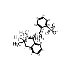 CC1=[N+](C)C(C)(C)Cc2ccccc21.Cc1ccccc1S(=O)(=O)[O-]